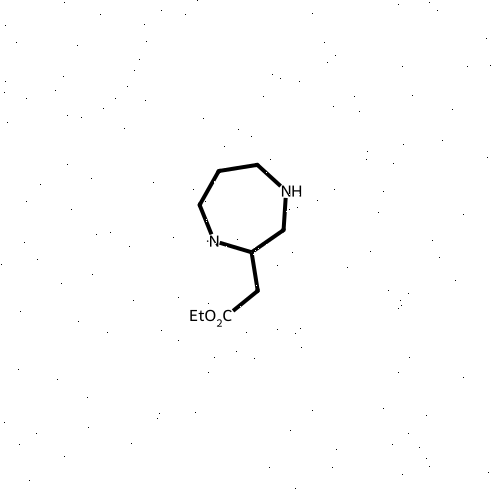 CCOC(=O)CC1CNCCC[N]1